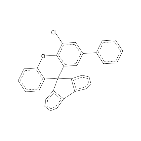 Clc1cc(-c2ccccc2)cc2c1Oc1ccccc1C21c2ccccc2-c2ccccc21